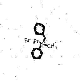 CC(C)[N@@+](C)(Cc1ccccc1)c1ccccc1.[Br-]